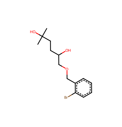 CC(C)(O)CCC(O)COCc1ccccc1Br